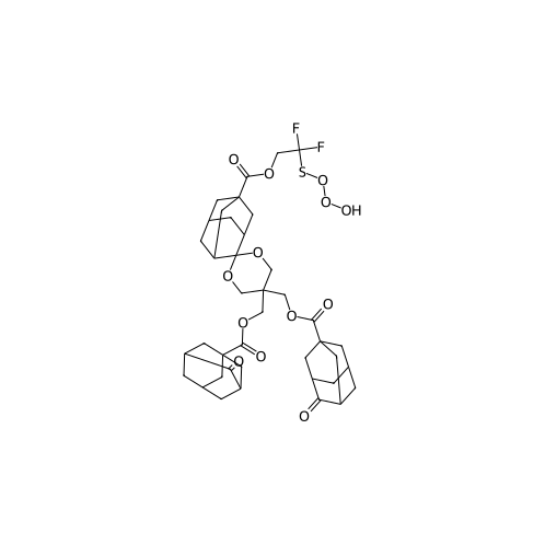 O=C1C2CC3CC1CC(C(=O)OCC1(COC(=O)C45CC6CC(C4)C(=O)C(C6)C5)COC4(OC1)C1CC5CC4CC(C(=O)OCC(F)(F)SOOO)(C5)C1)(C3)C2